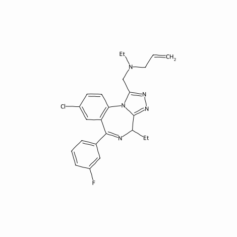 C=CCN(CC)Cc1nnc2n1-c1ccc(Cl)cc1C(c1cccc(F)c1)=NC2CC